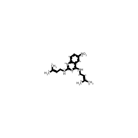 CC(C)=CCNc1nc(NCC=C(C)C)c2cc([N+](=O)[O-])ccc2n1